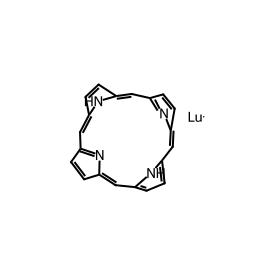 C1=Cc2cc3ccc(cc4nc(cc5ccc(cc1n2)[nH]5)C=C4)[nH]3.[Lu]